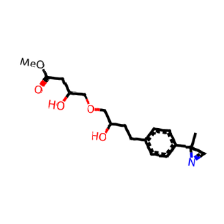 COC(=O)CC(O)COCC(O)CCc1ccc(C2(C)C=N2)cc1